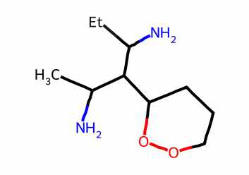 CCC(N)C(C(C)N)C1CCCOO1